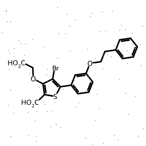 O=C(O)COc1c(C(=O)O)sc(-c2cccc(OCCc3ccccc3)c2)c1Br